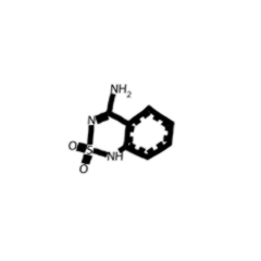 NC1=NS(=O)(=O)Nc2ccccc21